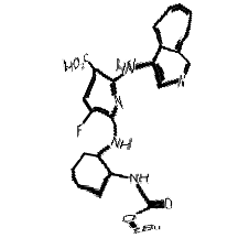 CC(C)(C)OC(=O)NC1CCCCC1Nc1nc(Nc2cncc3ccccc23)c(C(=O)O)cc1F